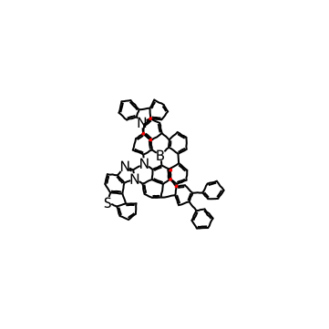 c1ccc(-c2cc3c(cc2-c2ccccc2)c2cc4c5c6c2c3ccc6n2c3c(ccc6sc7ccccc7c63)nc2n5-c2ccc(-n3c5ccccc5c5ccccc53)cc2B4c2c(-c3ccccc3)cccc2-c2ccccc2)cc1